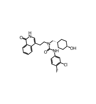 O=C(Nc1ccc(F)c(Cl)c1)N(CCc1c[nH]c(=O)c2ccccc12)C[C@H]1CC[C@H](O)CC1